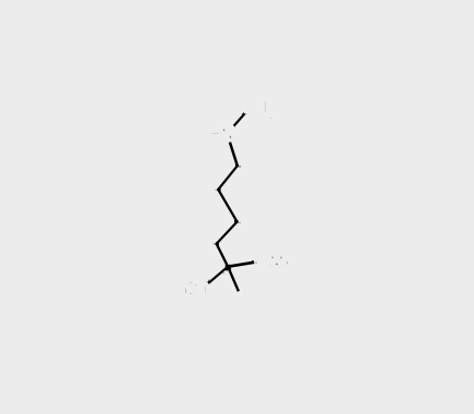 CCCCC(C)(CCCCNP)OC